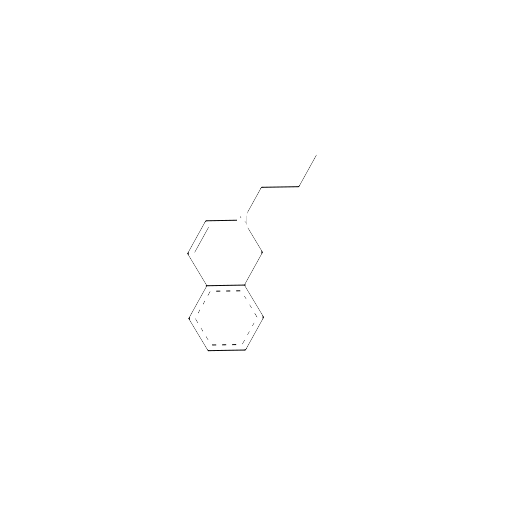 CCCN1C=Cc2cc[c]cc2C1